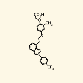 Cc1cc(SCCc2cccc3cn(-c4ccc(C(F)(F)F)cc4)nc23)ccc1OCC(=O)O